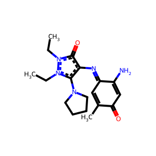 CCn1c(N2CCCC2)c(N=C2C=C(C)C(=O)C=C2N)c(=O)n1CC